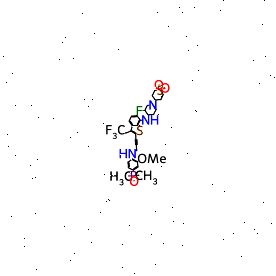 COc1cc(P(C)(C)=O)ccc1NCC#Cc1sc2c(NC3CCN(C4CCS(=O)(=O)CC4)CC3F)cccc2c1CC(F)(F)F